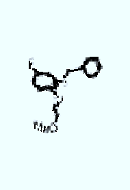 COCCOc1ccc(F)cc1SCc1ccccc1